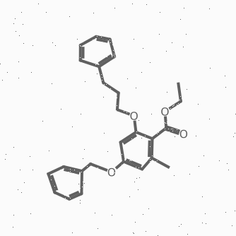 CCOC(=O)c1c(C)cc(OCc2ccccc2)cc1OCCCc1ccccc1